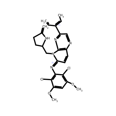 C=C/C(=C\C)c1cnc2cc/c(=N\c3c(Cl)c(OC)cc(OC)c3Cl)n(CC3CCC(=C)N3)c2n1